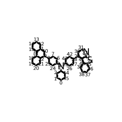 c1ccc(N(c2ccc(-c3cc4ccccc4c4ccccc34)cc2)c2ccc(-c3ccnc4sc5ccccc5c34)cc2)cc1